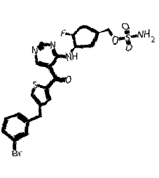 NS(=O)(=O)OC[C@@H]1C[C@H](F)[C@H](Nc2ncncc2C(=O)c2cc(Cc3cccc(Br)c3)cs2)C1